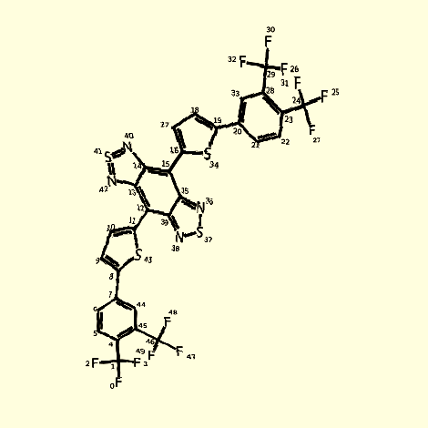 FC(F)(F)c1ccc(-c2ccc(-c3c4c(c(-c5ccc(-c6ccc(C(F)(F)F)c(C(F)(F)F)c6)s5)c5nsnc35)N=S=N4)s2)cc1C(F)(F)F